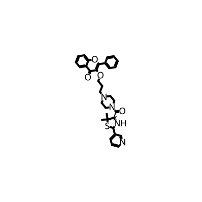 CC1(C)SC(c2cccnc2)N[C@@H]1C(=O)N1CCN(CCCOc2c(-c3ccccc3)oc3ccccc3c2=O)CC1